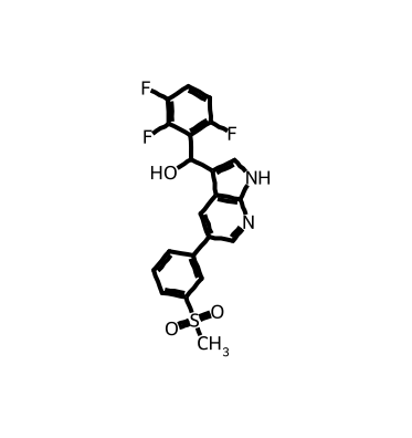 CS(=O)(=O)c1cccc(-c2cnc3[nH]cc(C(O)c4c(F)ccc(F)c4F)c3c2)c1